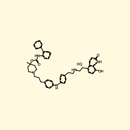 CC1(OC(=O)Nc2ccccc2-c2ccccc2)CCN(CCCc2ccc(Nc3ccc(CCNC[C@H](O)c4ccc(O)c5[nH]c(=O)ccc45)cc3)cc2)CC1